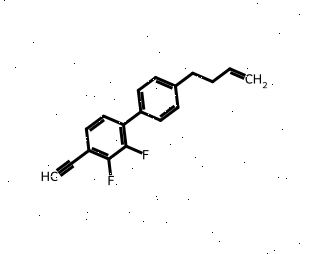 C#Cc1ccc(-c2ccc(CCC=C)cc2)c(F)c1F